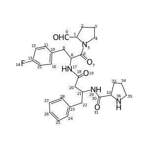 O=CC1CCCN1C(=O)C(Cc1ccc(F)cc1)NC(=O)CC(Cc1ccccc1)NC(=O)C1CCCN1